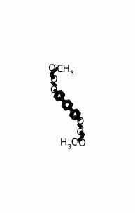 CC1OC1COCCOc1ccc(C2=CCC(c3ccc(OCCOCC4OC4C)cc3)CC2)cc1